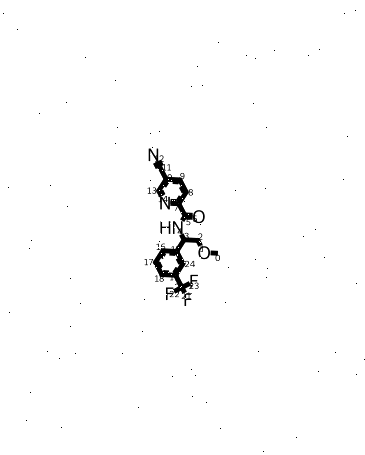 COCC(NC(=O)c1ccc(C#N)cn1)c1cccc(C(F)(F)F)c1